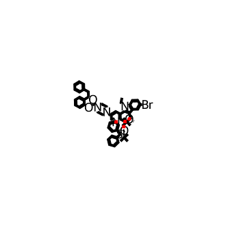 CCn1c(-c2cc(N3CCN(C(=O)OC(Cc4ccccc4)c4ccccc4)CC3)cnc2[C@H](C)OC)c(CC(C)(C)CO[Si](c2ccccc2)(c2ccccc2)C(C)(C)C)c2cc(Br)ccc21